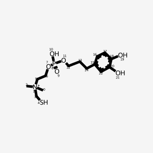 C[N+](C)(CS)CCOP(=O)(O)OCCCc1ccc(O)c(O)c1